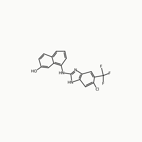 Oc1ccc2cccc(Nc3nc4cc(C(F)(F)F)c(Cl)cc4[nH]3)c2c1